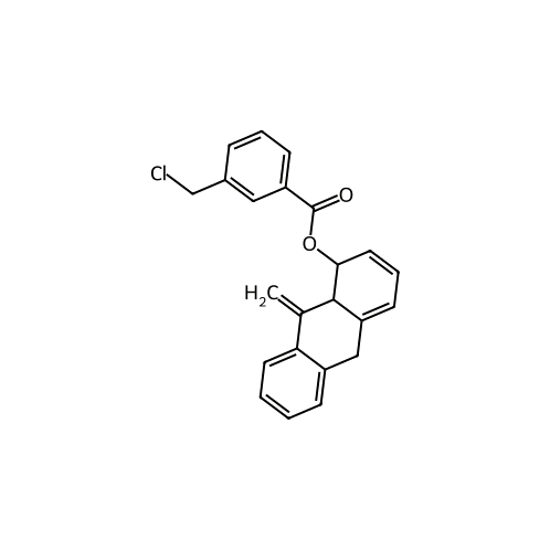 C=C1c2ccccc2CC2=CC=CC(OC(=O)c3cccc(CCl)c3)C12